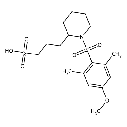 COc1cc(C)c(S(=O)(=O)N2CCCCC2CCCS(=O)(=O)O)c(C)c1